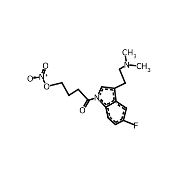 CN(C)CCc1cn(C(=O)CCCO[N+](=O)[O-])c2ccc(F)cc12